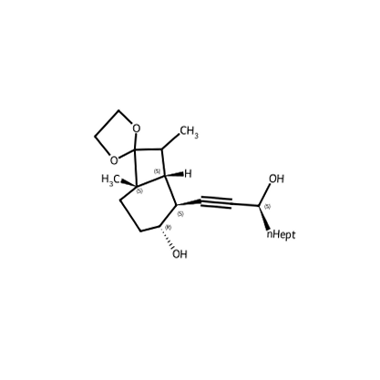 CCCCCCC[C@H](O)C#C[C@H]1[C@H](O)CC[C@@]2(C)[C@@H]1C(C)C21OCCO1